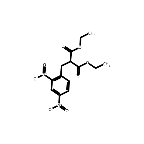 CCOC(=O)C(Cc1ccc([N+](=O)[O-])cc1[N+](=O)[O-])C(=O)OCC